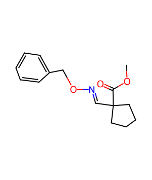 COC(=O)C1(C=NOCc2ccccc2)CCCC1